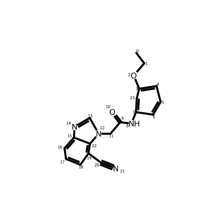 CCOc1cccc(NC(=O)Cn2cnc3cccc(C#N)c32)c1